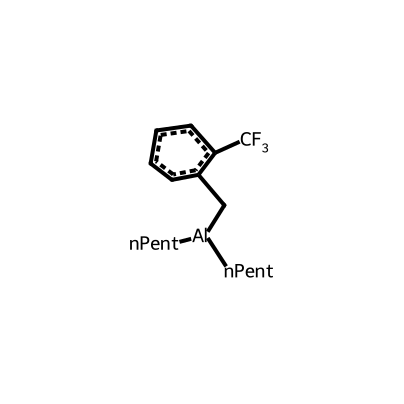 CCCC[CH2][Al]([CH2]CCCC)[CH2]c1ccccc1C(F)(F)F